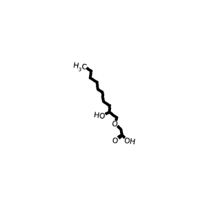 CCCCCCCCC(O)COCC(=O)O